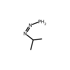 CC(C)/N=N\P